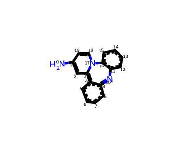 NC1=CC2=c3ccccc3=Nc3ccccc3N2C=C1